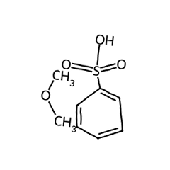 COC.O=S(=O)(O)c1ccccc1